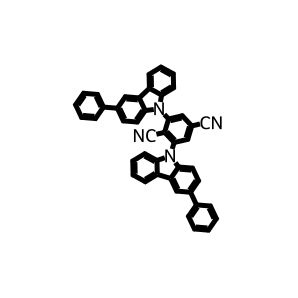 N#Cc1cc(-n2c3ccccc3c3cc(-c4ccccc4)ccc32)c(C#N)c(-n2c3ccccc3c3cc(-c4ccccc4)ccc32)c1